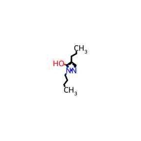 CCCCn1ncc(CCC)c1O